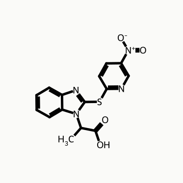 CC(C(=O)O)n1c(Sc2ccc([N+](=O)[O-])cn2)nc2ccccc21